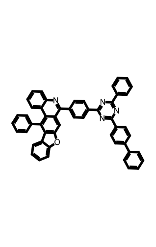 c1ccc(-c2ccc(-c3nc(-c4ccccc4)nc(-c4ccc(-c5nc6ccccc6c6c(-c7ccccc7)c7c(cc56)oc5ccccc57)cc4)n3)cc2)cc1